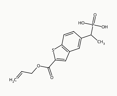 C=CCOC(=O)c1cc2cc(C(C)P(=O)(O)O)ccc2s1